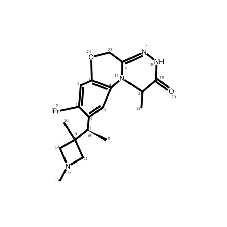 CC(C)c1cc2c(cc1[C@@H](C)C1(C)CN(C)C1)N1C(=NNC(=O)C1C)CO2